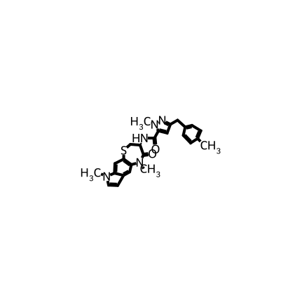 Cc1ccc(Cc2cc(C(=O)N[C@H]3CSc4cc5c(ccn5C)cc4N(C)C3=O)n(C)n2)cc1